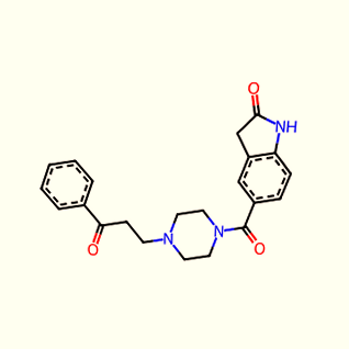 O=C1Cc2cc(C(=O)N3CCN(CCC(=O)c4ccccc4)CC3)ccc2N1